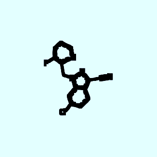 N#Cc1nn(Cc2ncccc2F)c2cc(Cl)ccc12